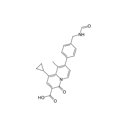 Cc1c(-c2ccc(CNC=O)cc2)ccn2c(=O)c(C(=O)O)cc(C3CC3)c12